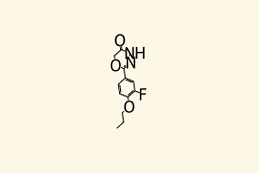 CCCOc1ccc(C2=NNC(=O)CO2)cc1F